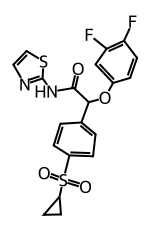 O=C(Nc1nccs1)C(Oc1ccc(F)c(F)c1)c1ccc(S(=O)(=O)C2CC2)cc1